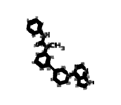 CN(C(=O)Nc1ccccc1)c1cccc([C@@H]2CCCN(c3ncnc4[nH]ccc34)C2)c1